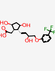 O=C(O)C[C@@H]1[C@@H](C=C[C@H](O)COc2cccc(C(F)(F)F)c2)[C@H](O)C[C@@H]1O